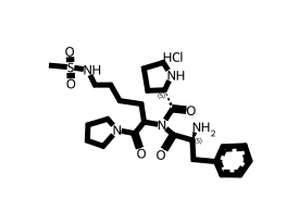 CS(=O)(=O)NCCCCC(C(=O)N1CCCC1)N(C(=O)[C@@H]1CCCN1)C(=O)[C@@H](N)Cc1ccccc1.Cl